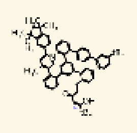 Cc1cc(-c2ccc3c(c2)C(C)(C)CC3(C)C)ncc1-c1ccccc1-c1cc(-c2ccccc2CCC(=O)/C=C(\O)C(C)(C)C)cc(-c2ccccc2-c2ccc(-c3cc(C(C)(C)C)ccn3)cc2)c1